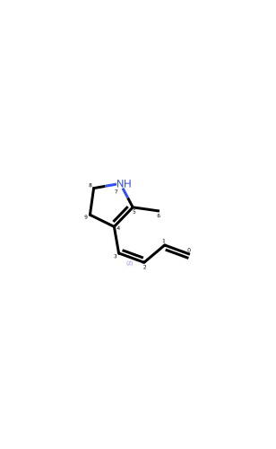 C=C/C=C\C1=C(C)NCC1